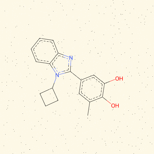 Cc1cc(-c2nc3ccccc3n2C2CCC2)cc(O)c1O